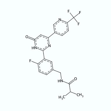 CC(C)C(=O)NCc1ccc(F)c(-c2nc(-c3ccc(C(F)(F)F)nc3)cc(=O)[nH]2)c1